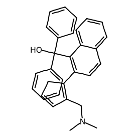 CN(C)CC1=C(c2ccc3ccccc3c2C(O)(c2ccccc2)c2ccccc2)CC=C1